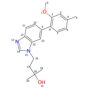 COc1cc(C)ccc1-c1ccc2ncn(CCC(C)(C)O)c2c1